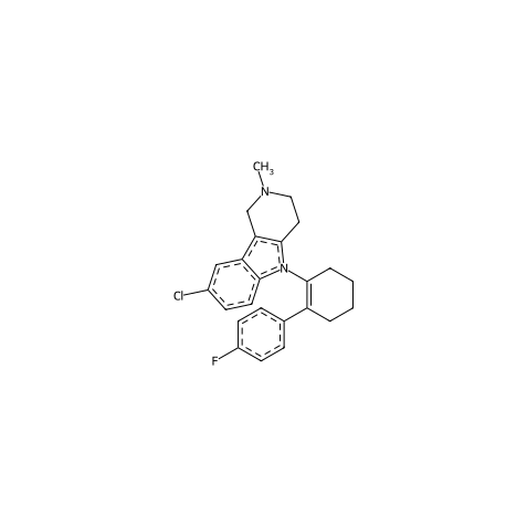 CN1CCc2c(c3cc(Cl)ccc3n2C2=C(c3ccc(F)cc3)CCCC2)C1